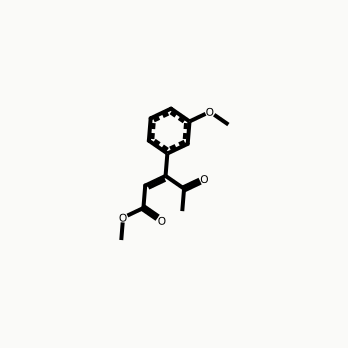 COC(=O)C=C(C(C)=O)c1cccc(OC)c1